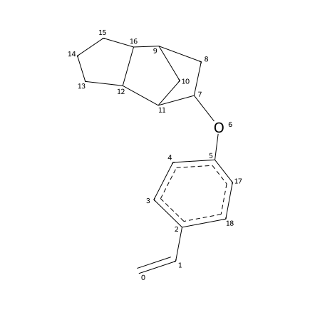 C=Cc1ccc(OC2CC3CC2C2CCCC32)cc1